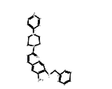 COc1cc(/C=C\C(=O)N2CCN(c3ccncc3)CC2)ccc1OCc1ccccc1